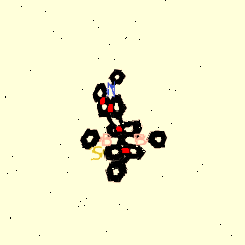 c1ccc(B2c3ccc(-c4ccccc4)cc3C3(c4cc(-c5ccc(N(c6ccccc6)c6ccccc6)cc5)ccc42)c2ccc(-c4ccccc4)cc2B2c4ccccc4Sc4cccc3c42)cc1